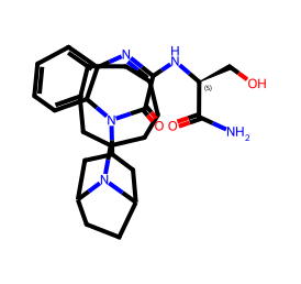 NC(=O)[C@H](CO)Nc1nc2ccccc2n(C2CC3CCC(C2)N3C2CCCCCCC2)c1=O